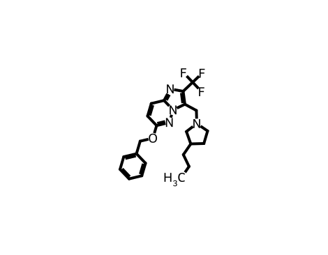 CCCC1CCN(Cc2c(C(F)(F)F)nc3ccc(OCc4ccccc4)nn23)C1